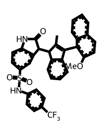 COc1ccc2ccccc2c1C1=C(C)C(C2C(=O)Nc3ccc(S(=O)(=O)Nc4ccc(C(F)(F)F)cc4)cc32)c2ccccc21